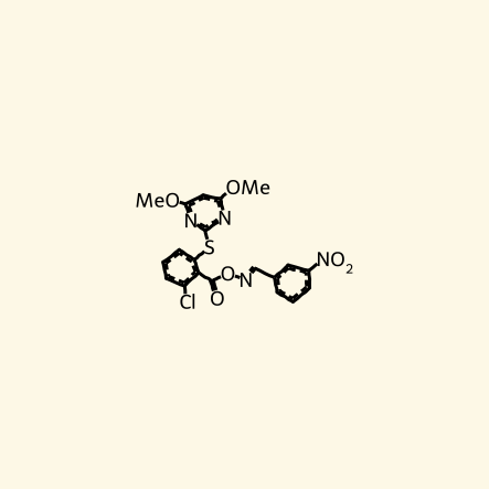 COc1cc(OC)nc(Sc2cccc(Cl)c2C(=O)O/N=C/c2cccc([N+](=O)[O-])c2)n1